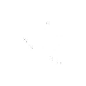 Cn1cnc(C(c2ccc(Cl)cc2)c2ccc3c(c2)c(-c2ccccc2)cc(=O)n3C)c1